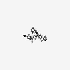 Cc1noc(C)c1-c1ccc(N(C(=O)NCc2ccccc2)C2CCC(Nc3ccc(C#N)cn3)CC2)cc1